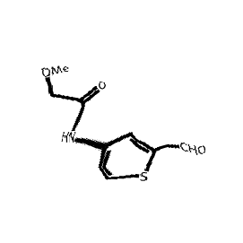 COCC(=O)Nc1csc(C=O)c1